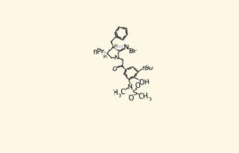 CCC[C@H]1CN(CC(=O)c2cc(N(C)S(C)(=O)=O)c(O)c(C(C)(C)C)c2)/C(=N\Br)[C@@H]1Cc1ccccc1